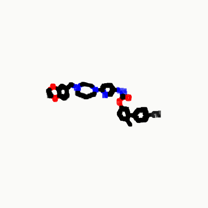 Cc1ccc(OC(=O)Nc2ccc(N3CCCN(Cc4ccc5c(c4)OCCO5)CC3)nc2)cc1-c1ccc(C#N)cc1